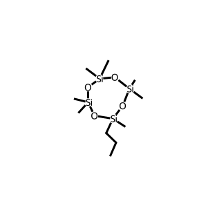 CCC[Si]1(C)O[Si](C)(C)O[Si](C)(C)O[Si](C)(C)O1